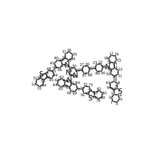 c1ccc2c(c1)sc1cc(-c3ccc4c5ccccc5n(-c5ccc(-c6ccc(-c7cc(-n8c9ccccc9c9ccc(-c%10ccc%11c(c%10)sc%10ccccc%10%11)cc98)nc(-n8c9ccccc9c9ccc(-c%10ccc%11c(c%10)sc%10ccccc%10%11)cc98)n7)cc6)cc5)c4c3)ccc12